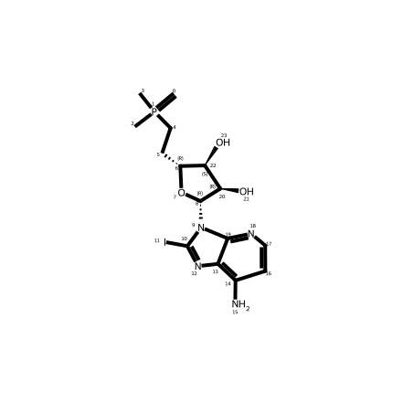 C=P(C)(C)CC[C@H]1O[C@@H](n2c(I)nc3c(N)ccnc32)[C@H](O)[C@@H]1O